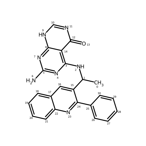 CC(Nc1nc(N)nc2[nH]cnc(=O)c12)c1cc2ccccc2nc1-c1ccccc1